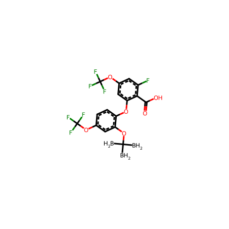 BC(B)(B)Oc1cc(OC(F)(F)F)ccc1Oc1cc(OC(F)(F)F)cc(F)c1C(=O)O